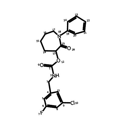 O=C(NCc1cc(F)cc(Cl)c1)OC1CCCCN(c2ccccc2)C1=O